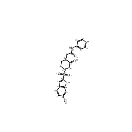 O=C(CN1CCN(S(=O)(=O)c2cc3ccc(Cl)cc3s2)CC1=O)Nc1ccccc1